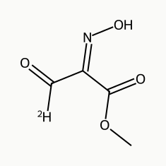 [2H]C(=O)/C(=N/O)C(=O)OC